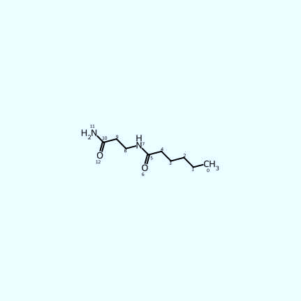 CCCCCC(=O)NCCC(N)=O